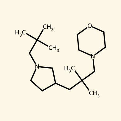 CC(C)(C)CN1CCC(CC(C)(C)CN2CCOCC2)C1